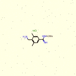 CONC(=N)c1cc(C)c(CN)c(C)c1.Cl